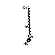 CCCC.CCCCCCCCCCCCCCCCCCCCCCCCCCCCCOC(=O)c1ccc(O)cc1